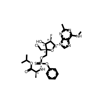 CNc1nc(C)nc2c1ncn2[C@@H]1O[C@](CCl)(CO[P@@](=S)(N[C@@H](C)C(=O)OC(C)C)Oc2ccccc2)[C@@H](O)[C@H]1F